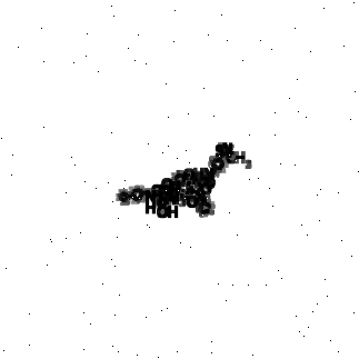 C=C(C)[C@@H](C(=O)N1C[C@H](Oc2ccc3c(c2)CN([C@H](C(=O)N2C[C@H](O)C[C@H]2C(=O)NCc2ccc(C4CCC4)cc2)C(C)C)C3=O)C[C@H]1C(=O)NCc1ccc(-c2scnc2C)cc1)N1Cc2ccccc2C1=O